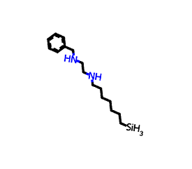 [SiH3]CCCCCCCNCCNCc1ccccc1